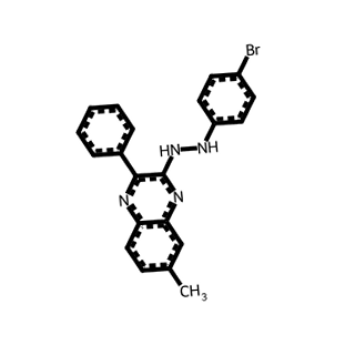 Cc1ccc2nc(-c3ccccc3)c(NNc3ccc(Br)cc3)nc2c1